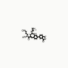 CCCN(CCCN=O)C(=O)C1=Cc2ccc(-c3ccc4c(c3)C(=O)OC4)cc2NC(N=NN)C1